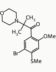 COc1cc(SC)c(Br)cc1C(=O)C(C)(C)N1CCOCC1